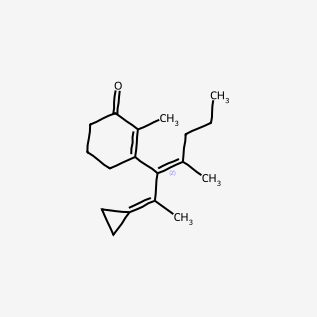 CCC/C(C)=C(/C(C)=C1CC1)C1=C(C)C(=O)CCC1